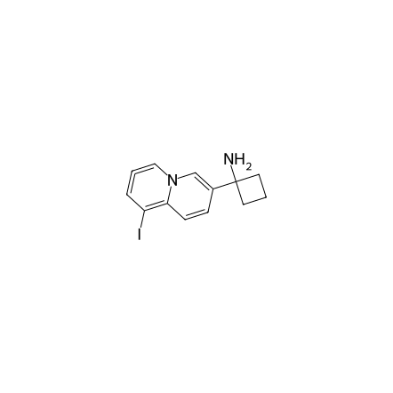 NC1(C2=CN3C=C=CC(I)=C3C=C2)CCC1